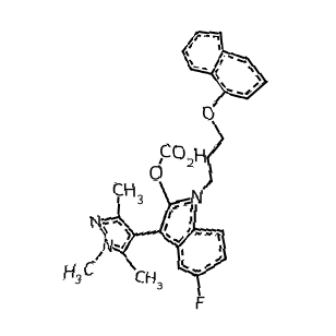 Cc1nn(C)c(C)c1-c1c(OC(=O)O)n(CCCOc2cccc3ccccc23)c2ccc(F)cc12